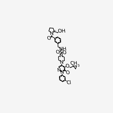 CC1(COc2c(N3CCN(S(=O)(=O)NCc4cccc(C(=O)N5CCC[C@H]5CO)c4)CC3)cnn(-c3cccc(Cl)c3)c2=O)CC1